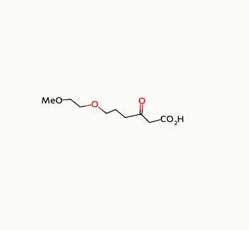 COCCOCCCC(=O)CC(=O)O